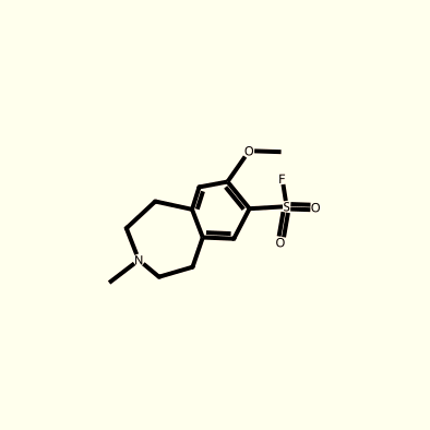 COc1cc2c(cc1S(=O)(=O)F)CCN(C)CC2